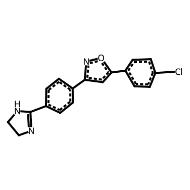 Clc1ccc(-c2cc(-c3ccc(C4=NCCN4)cc3)no2)cc1